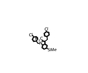 CSc1ccc2c(c1)c(Cc1ccc(Cl)cc1)c(C)n2Cc1ccc(Cl)cc1